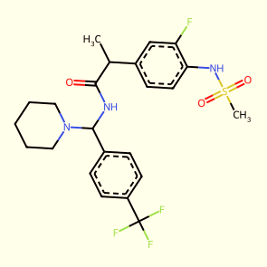 CC(C(=O)NC(c1ccc(C(F)(F)F)cc1)N1CCCCC1)c1ccc(NS(C)(=O)=O)c(F)c1